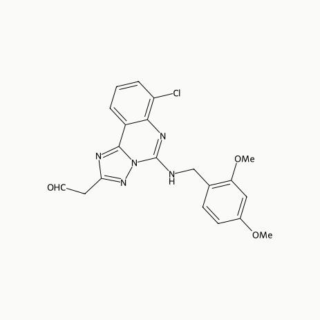 COc1ccc(CNc2nc3c(Cl)cccc3c3nc(CC=O)nn23)c(OC)c1